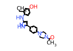 CCc1cc(O)ccc1Nc1cc(-c2ccc(N3CCN(C(C)=O)CC3)cc2)[nH]n1